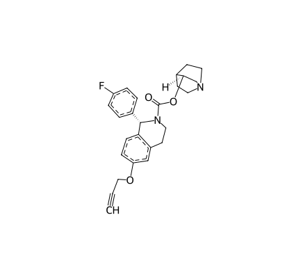 C#CCOc1ccc2c(c1)CCN(C(=O)O[C@@H]1CN3CCC1CC3)[C@H]2c1ccc(F)cc1